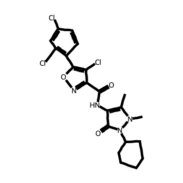 Cc1c(NC(=O)c2noc(-c3ccc(Cl)cc3Cl)c2Cl)c(=O)n(C2CCCCC2)n1C